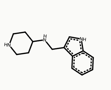 c1ccc2c(CNC3CCNCC3)c[nH]c2c1